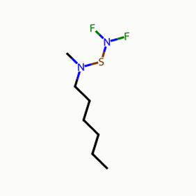 CCCCCCN(C)SN(F)F